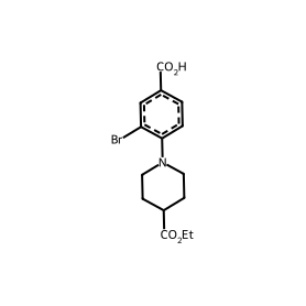 CCOC(=O)C1CCN(c2ccc(C(=O)O)cc2Br)CC1